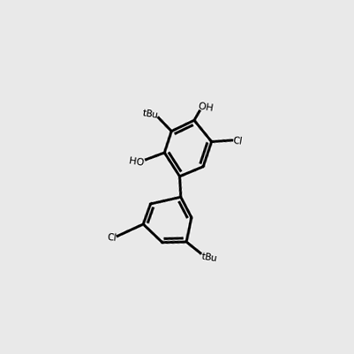 CC(C)(C)c1cc(Cl)cc(-c2cc(Cl)c(O)c(C(C)(C)C)c2O)c1